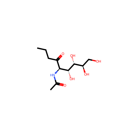 CCCC(=O)[C@H](NC(C)=O)[C@@H](O)[C@H](O)[C@H](O)CO